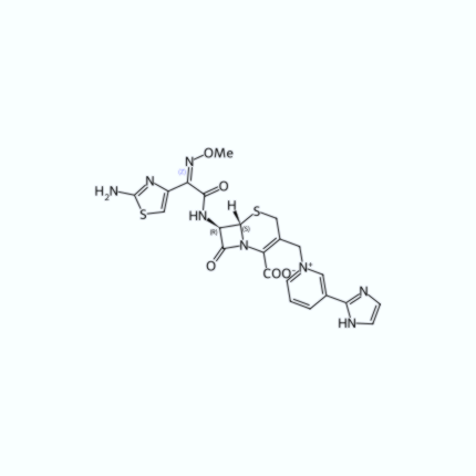 CO/N=C(\C(=O)N[C@@H]1C(=O)N2C(C(=O)[O-])=C(C[n+]3cccc(-c4ncc[nH]4)c3)CS[C@@H]12)c1csc(N)n1